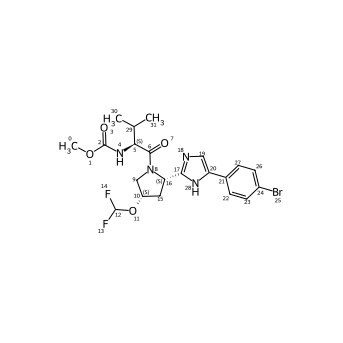 COC(=O)N[C@H](C(=O)N1C[C@@H](OC(F)F)C[C@H]1c1ncc(-c2ccc(Br)cc2)[nH]1)C(C)C